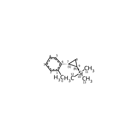 Cc1ccccc1[C@@H]1C[C@H]1[Si](C)(C)C